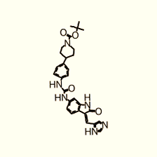 CC(C)(C)OC(=O)N1CCC(c2ccc(NC(=O)Nc3ccc4c(c3)NC(=O)/C4=C\c3cnc[nH]3)cc2)CC1